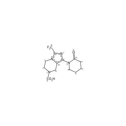 O=C(O)N1CCn2c(C(F)(F)F)nc(N3CCCCC3=O)c2C1